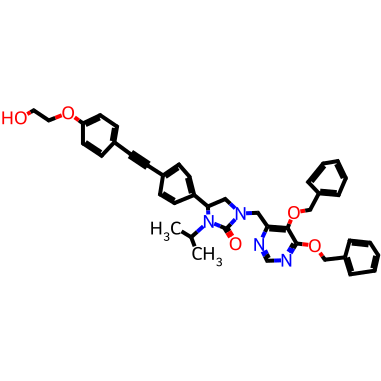 CC(C)N1C(=O)N(Cc2ncnc(OCc3ccccc3)c2OCc2ccccc2)CC1c1ccc(C#Cc2ccc(OCCO)cc2)cc1